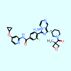 CC1(C(=O)N2CCC[C@@H](C3=C4C=NC=C[N+]4(N)C(c4ccc(C(=O)Nc5cc(OC6CC6)ccn5)cc4F)=N3)C2)COC1